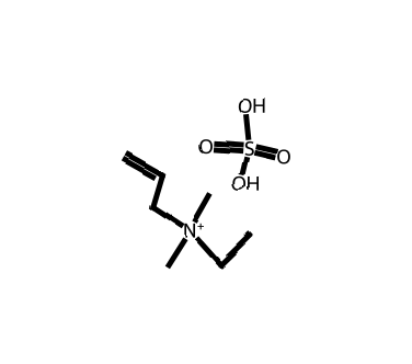 C=CC[N+](C)(C)CC.O=S(=O)(O)O